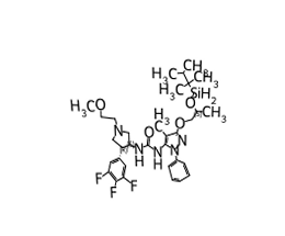 COCCN1C[C@@H](NC(=O)Nc2c(C)c(OC[C@H](C)O[SiH2]C(C)(C)C(C)C)nn2-c2ccccc2)[C@H](c2cc(F)c(F)c(F)c2)C1